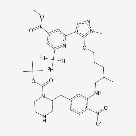 [2H]C([2H])([2H])c1cc(C(=O)OC)cc(-c2cnn(C)c2OCCCC(C)CNc2cc(CC3CNCCN3C(=O)OC(C)(C)C)ccc2[N+](=O)[O-])n1